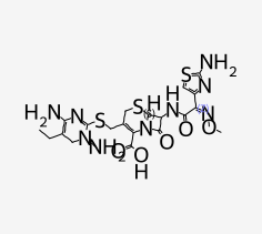 CCC1=C(N)N=C(SCC2=C(C(=O)O)N3C(=O)C(NC(=O)/C(=N\OC)c4csc(N)n4)[C@@H]3SC2)N(N)C1